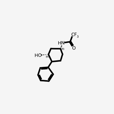 O=C(N[C@@H]1CCC(c2ccccc2)[C@H](O)C1)C(F)(F)F